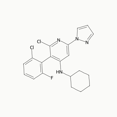 Fc1cccc(Cl)c1-c1c(NC2CCCCC2)cc(-n2cccn2)nc1Cl